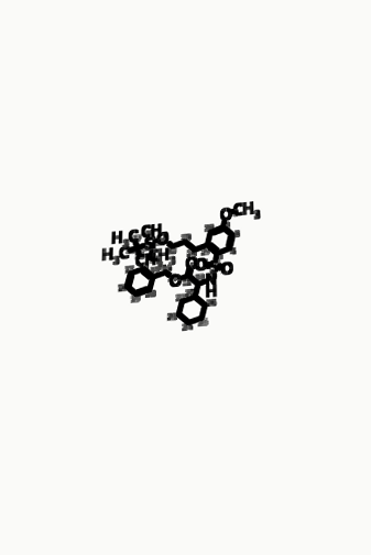 COc1ccc(S(=O)(=O)NC(C(=O)OCc2ccccc2)C2CCCCC2)c(CCCO[Si](C)(C)C(C)(C)C)c1